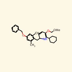 COCOC1=C(C2CCCCC2)NC(Cc2c(C)cc(OCc3ccccc3)cc2C)C=C1